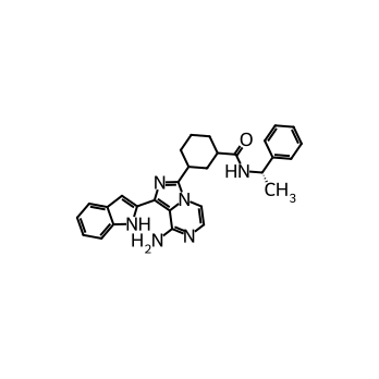 C[C@H](NC(=O)C1CCCC(c2nc(-c3cc4ccccc4[nH]3)c3c(N)nccn23)C1)c1ccccc1